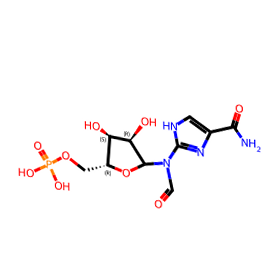 NC(=O)c1c[nH]c(N(C=O)C2O[C@H](COP(=O)(O)O)[C@@H](O)[C@H]2O)n1